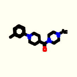 CC(=O)N1CCN(C(=O)C2CCN(c3cccc(C)c3)CC2)CC1